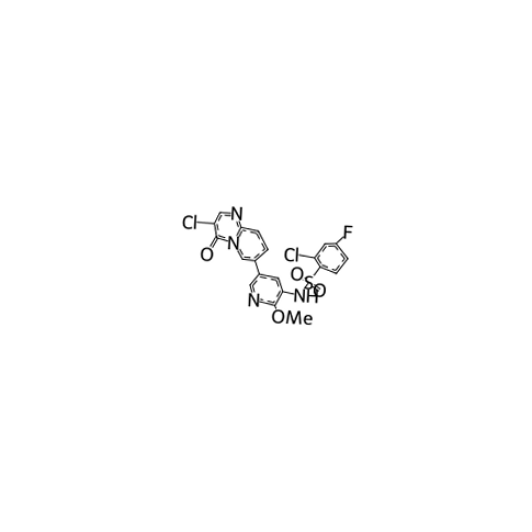 COc1ncc(-c2ccc3ncc(Cl)c(=O)n3c2)cc1NS(=O)(=O)c1ccc(F)cc1Cl